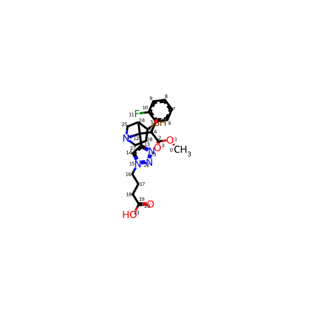 COC(=O)C(c1ccccc1F)C1(c2cn(CCCC(=O)O)nn2)C2CN1CCC2S